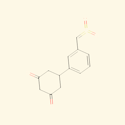 O=C1CC(=O)CC(c2cccc(C=S(=O)=O)c2)C1